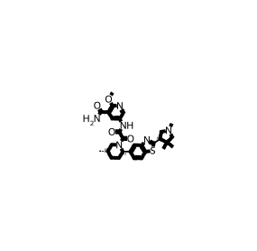 COc1ncc(NC(=O)C(=O)N2C[C@@H](C)CC[C@@H]2c2ccc3sc([C@H]4CN(C)CC4(C)C)nc3c2)cc1C(N)=O